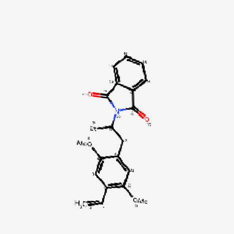 C=Cc1cc(OC)c(CC(CC)N2C(=O)c3ccccc3C2=O)cc1OC